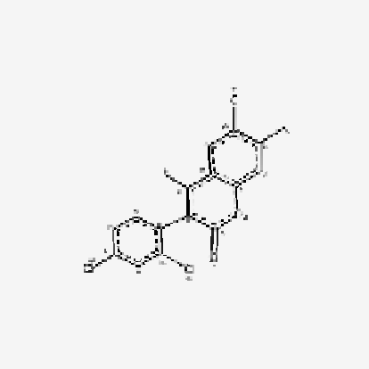 Cc1cc2oc(=O)c(-c3ccc(Cl)cc3Cl)c(C)c2cc1Cl